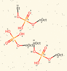 CCCCCCCCOP(=O)(O)O.CCCCCCCCOP(=O)(O)OCC.CCCCCCCCOP(=O)(O)OCCCCCCCC